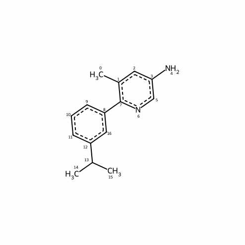 Cc1cc(N)cnc1-c1cccc(C(C)C)c1